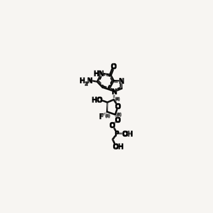 Nc1cc2c(ncn2[C@@H]2O[C@H](OOP(O)CO)[C@H](F)C2O)c(=O)[nH]1